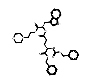 O=C(CC[C@@H](NC(=O)OCc1ccccc1)C(=O)OCc1ccccc1)N[C@H](Cc1c[nH]c2ccccc12)C(=O)OCCN1CCOCC1